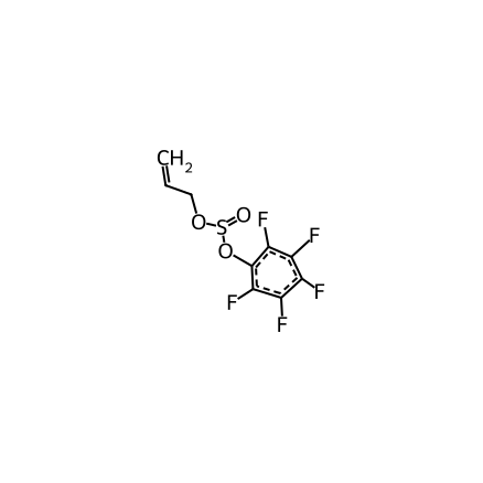 C=CCOS(=O)Oc1c(F)c(F)c(F)c(F)c1F